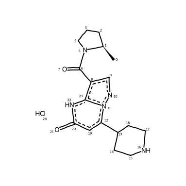 C[C@@H]1CCCN1C(=O)c1cnn2c(C3CCNCC3)cc(=O)[nH]c12.Cl